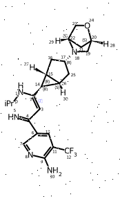 CC(C)N/C(=C\C(=N)c1cnc(N)c(C(F)(F)F)c1)[C@H]1[C@@H]2C[C@H](N3C[C@@H]4C[C@H]3CO4)C[C@@H]21